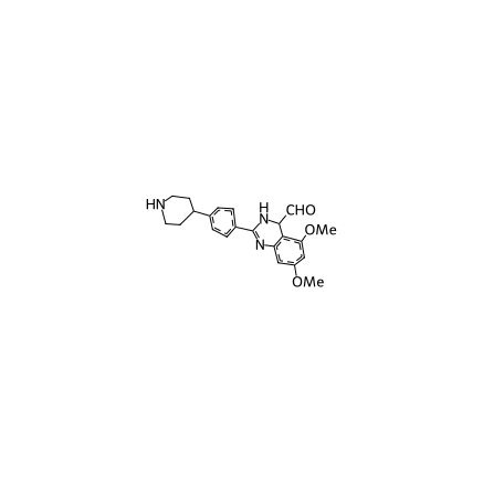 COc1cc2c(c(OC)c1)C(C=O)NC(c1ccc(C3CCNCC3)cc1)=N2